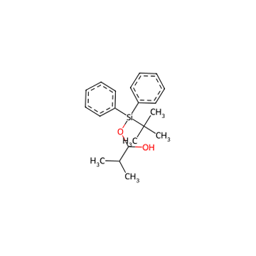 CC(C)C(O)O[Si](c1ccccc1)(c1ccccc1)C(C)(C)C